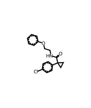 O=C(NCCOc1ccccc1)C1(c2ccc(Cl)cc2)CC1